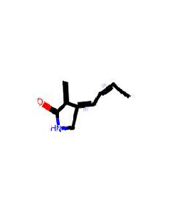 C=C1C(=O)NC/C1=C/C=C\C